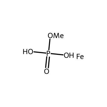 COP(=O)(O)O.[Fe]